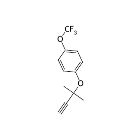 C#CC(C)(C)Oc1ccc(OC(F)(F)F)cc1